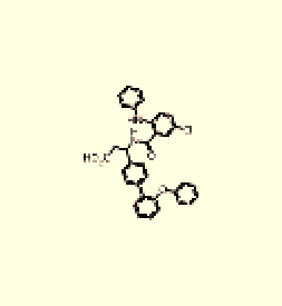 O=C(O)CC(NC(=O)c1cc(Cl)ccc1Nc1ccccc1)c1ccc(-c2ccccc2Oc2ccccc2)cc1